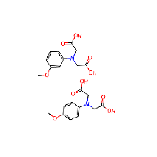 COc1ccc(N(CC(=O)O)CC(=O)O)cc1.COc1cccc(N(CC(=O)O)CC(=O)O)c1